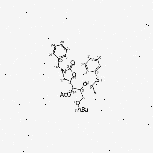 CCCCOCC(OC(C)Sc1ccccc1)[C@@H](OC(C)=O)[C@H]1CN(Cc2ccccc2)C(=O)O1